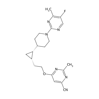 Cc1nc(C#N)cc(OCC[C@@H]2C[C@@H]2C2CCN(c3ncc(F)c(C)n3)CC2)n1